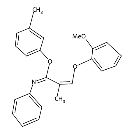 COc1ccccc1OC=C(C)C(=Nc1ccccc1)Oc1cccc(C)c1